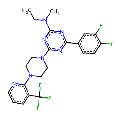 CCN(C)c1nc(-c2ccc(F)c(F)c2)nc(N2CCN(c3ncccc3C(F)(F)F)CC2)n1